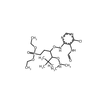 CCOP(=O)(CCC(ONc1ncnc(Cl)c1NC=O)C(O[SiH](C)C)C(C)(C)C)OCC